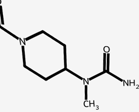 CN(C(N)=O)C1CCN(C=O)CC1